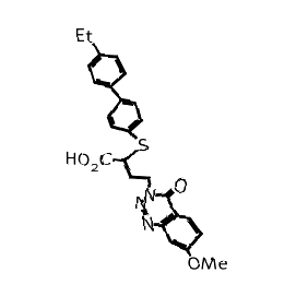 CCc1ccc(-c2ccc(SC(CCn3nnc4cc(OC)ccc4c3=O)C(=O)O)cc2)cc1